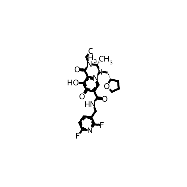 CCN1C(=O)c2c(O)c(=O)c(C(=O)NCc3ccc(F)nc3F)cn2N(C[C@@H]2CCCO2)[C@H]1C